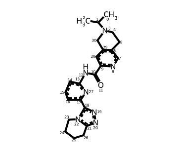 CC(C)N1CCc2cnc(C(=O)Nc3cccc(-c4nnc5n4CCCC5)n3)cc2C1